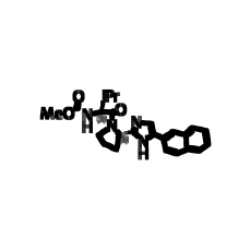 COC(=O)N[C@H](C(=O)N1CCC[C@H]1c1ncc(-c2ccc3ccccc3c2)[nH]1)C(C)C